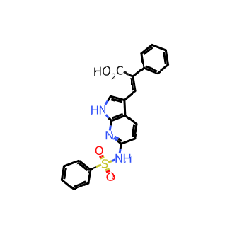 O=C(O)/C(=C\c1c[nH]c2nc(NS(=O)(=O)c3ccccc3)ccc12)c1ccccc1